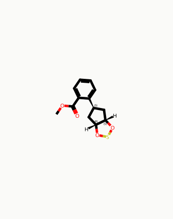 COC(=O)c1ccccc1[C@H]1C[C@@H]2OSO[C@@H]2C1